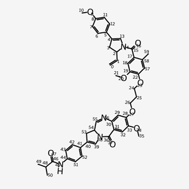 C=CC1CC(c2ccc(OC)cc2)=CN1C(=O)c1cc(OC)c(OCCCOc2cc3c(cc2OC)C(=O)N2C=C(c4ccc(NC(=O)C(C)C)cc4)CC2C=N3)cc1C